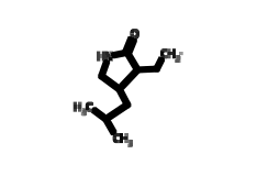 [CH2]CC1C(=O)NCC1CC(C)C